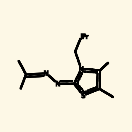 CC(C)=NN=c1sc(C)c(C)n1CC(C)C